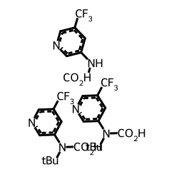 CC(C)(C)N(C(=O)O)c1cncc(C(F)(F)F)c1.CC(C)(C)N(C(=O)O)c1cncc(C(F)(F)F)c1.O=C(O)Nc1cncc(C(F)(F)F)c1